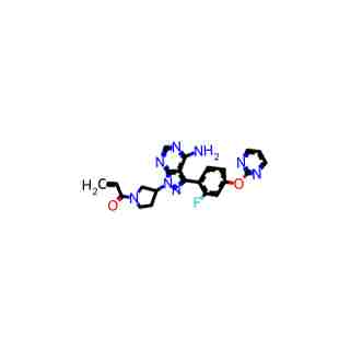 C=CC(=O)N1CCC(n2nc(-c3ccc(Oc4ncccn4)cc3F)c3c(N)ncnc32)C1